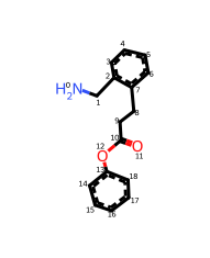 NCc1ccccc1CCC(=O)Oc1ccccc1